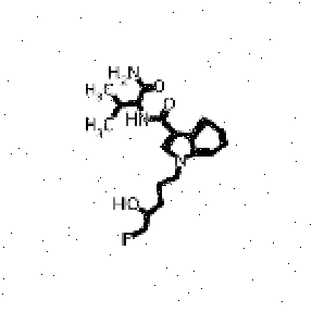 CC(C)C(NC(=O)c1cn(CCCC(O)CF)c2ccccc12)C(N)=O